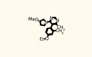 CCOc1ccc(-c2c(C)ncnc2N2CC[C@H](OC)C2)c(C)c1